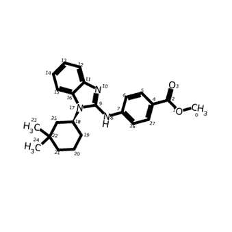 COC(=O)c1ccc(Nc2nc3ccccc3n2[C@H]2CCCC(C)(C)C2)cc1